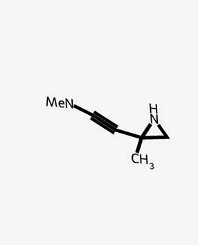 CNC#CC1(C)CN1